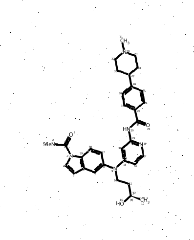 CNC(=O)n1ccc2cc(N(CC[C@@H](C)O)c3ccnc(NC(=O)c4ccc(C5CCN(C)CC5)cc4)c3)ccc21